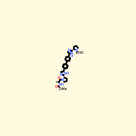 COC(=O)N[C@@H](C)C(=O)N1CCC[C@H]1c1ncc(-c2ccc(-c3ccc(-c4cnc([C@@H]5CCCN5C=O)[nH]4)cc3)cc2)[nH]1